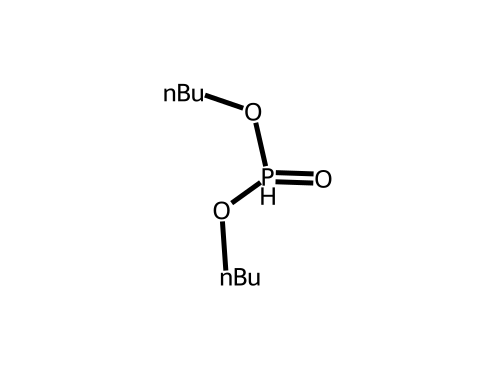 CCCCO[PH](=O)OCCCC